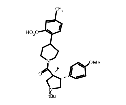 COc1ccc([C@@H]2CN(C(C)(C)C)C[C@@]2(F)C(=O)N2CCC(c3ccc(C(F)(F)F)cc3C(=O)O)CC2)cc1